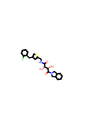 O=C(NCc1cc(Cc2ccccc2Cl)cs1)[C@H](O)[C@@H](O)C(=O)N1Cc2ccccc2C1